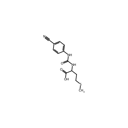 CSCCC(NC(=O)Nc1ccc(C#N)cc1)C(=O)O